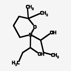 CCC(O)[Si]1(C(O)CC)CCCC(C)(C)O1